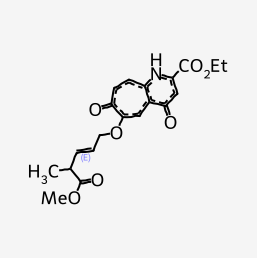 CCOC(=O)c1cc(=O)c2cc(OC/C=C/C(C)C(=O)OC)c(=O)ccc2[nH]1